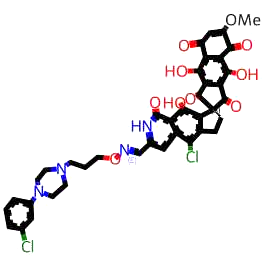 COC1=CC(=O)c2c(O)c3c(c(O)c2C1=O)C(=O)[C@]1(CCc2c1c(O)c1c(=O)[nH]c(/C=N/OCCCN4CCN(c5cccc(Cl)c5)CC4)cc1c2Cl)C3=O